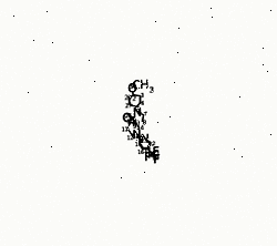 COC1CCC(N2CC[C@]3(CCCN(c4ccc(C(F)(F)F)cn4)C3)C2=O)CC1